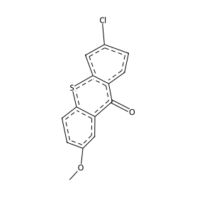 COc1ccc2sc3cc(Cl)ccc3c(=O)c2c1